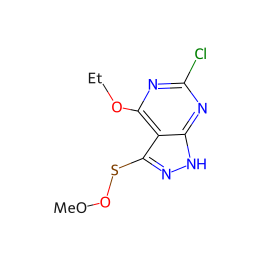 CCOc1nc(Cl)nc2[nH]nc(SOOC)c12